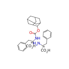 N[C@H](Cc1ccccc1)C(=O)O.O=C(N[C@H](Cc1ccccc1)C(=O)O)OC1C2CC3CC(C2)CC1C3